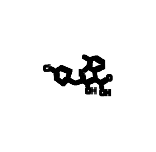 Cc1cccc2c(C(=O)O)c(O)c(Cc3ccc(Cl)cc3)nc12